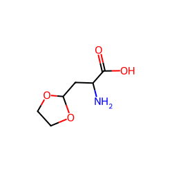 NC(CC1OCCO1)C(=O)O